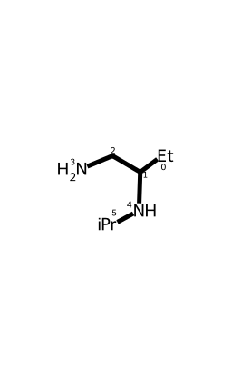 CCC(CN)NC(C)C